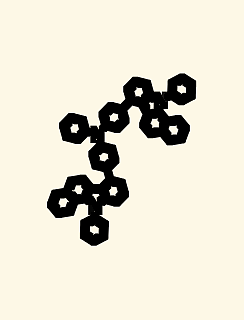 c1ccc(N(c2ccc(-c3cccc4c3c3ccc5ccccc5c3n4-c3ccccc3)cc2)c2ccc(-c3cccc4c3c3ccc5ccccc5c3n4-c3ccccc3)cc2)cc1